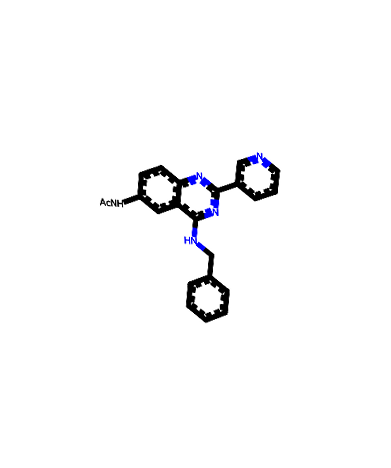 CC(=O)Nc1ccc2nc(-c3cccnc3)nc(NCc3ccccc3)c2c1